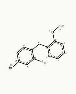 CCCOc1cccnc1Cc1ccc(Br)cc1F